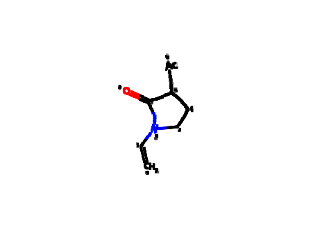 C=CN1CCC(C(C)=O)C1=O